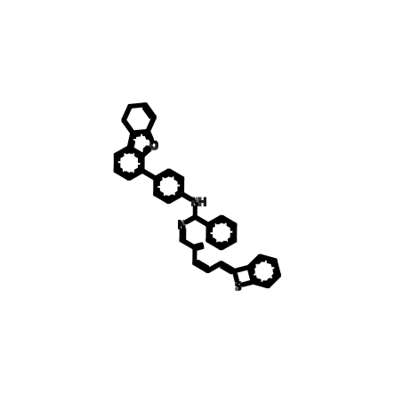 C=C(/C=C\C=C1/Sc2ccccc21)/C=N\C(Nc1ccc(-c2cccc3c4c(oc23)C=CCC4)cc1)c1ccccc1